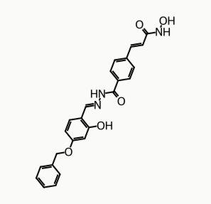 O=C(/C=C/c1ccc(C(=O)N/N=C/c2ccc(OCc3ccccc3)cc2O)cc1)NO